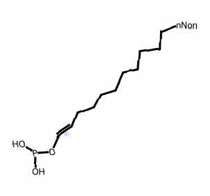 CCCCCCCCCCCCCCCCCC/C=C/OP(O)O